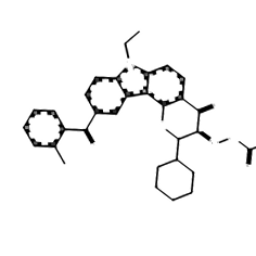 CCn1c2ccc(C(=O)c3ccccc3C)cc2c2c3c(ccc21)C(=O)/C(=N\OC(C)=O)C(C1CCCCC1)S3